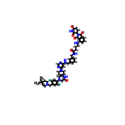 CC1(C)CCN(Cc2cc(F)c(N3CC(=O)NC4(CCN(c5cc(NCc6cccc(CNC(=O)CCCNc7cccc8c7C(=O)N(C7CCC(=O)NC7=O)C8=O)c6)ncn5)CC4)C3)cc2F)CC1